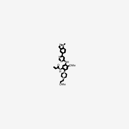 C=CC(=O)Nc1cc(Nc2cc(-c3ccc4c(cnn4C)c3)ncn2)c(OC)cc1N1CCN(CCOC)CC1